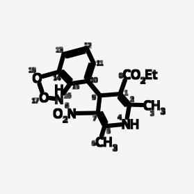 CCOC(=O)C1=C(C)NC(C)=C([N+](=O)[O-])C1c1cccc2c1NOO2